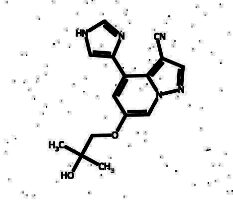 CC(C)(O)COc1cc(-c2c[nH]cn2)c2c(C#N)cnn2c1